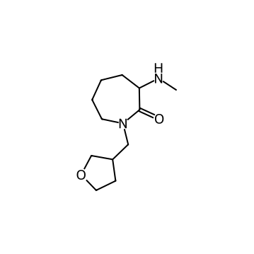 CNC1CCCCN(CC2CCOC2)C1=O